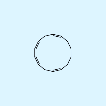 [CH]1C=CCC=CC=CCC=CCCC1